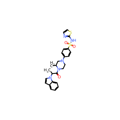 CC1CN(c2ccc(S(=O)(=O)Nc3nccs3)cc2)CCN1C(=O)C(C)n1ccc2ccccc21